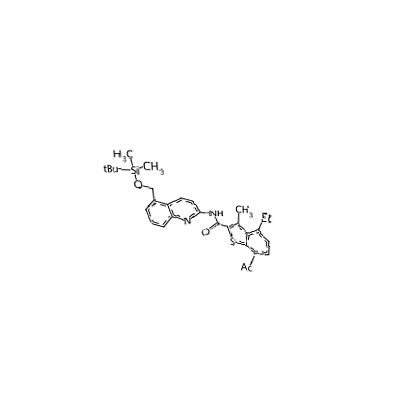 CCc1ccc(C(C)=O)c2sc(C(=O)Nc3ccc4c(CO[Si](C)(C)C(C)(C)C)cccc4n3)c(C)c12